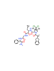 C[C@H](C(=O)N1C[C@H]2[C@@H]([C@H]1C(=O)NC(CC1CC1)C(=O)C(=O)NCC(=O)N[C@H](C(=O)N(C)C)c1ccccc1)C2(Cl)Cl)C1Cc2ccccc2C1